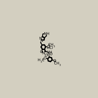 COc1ccc(OC)c(S(=O)(=O)Nc2noc3cc(Cn4cc5c(n4)CNC5)cc(OC)c23)c1.Cl